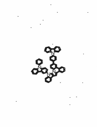 c1ccc(-n2c3ccccc3c3cc(-n4c5ccccc5c5cc6c7ccccc7c7cc(-c8ccc(-n9c%10ccccc%10c%10ccccc%109)cc8)ccc7n6c54)ccc32)cc1